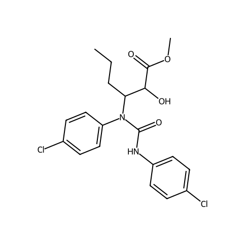 CCCC(C(O)C(=O)OC)N(C(=O)Nc1ccc(Cl)cc1)c1ccc(Cl)cc1